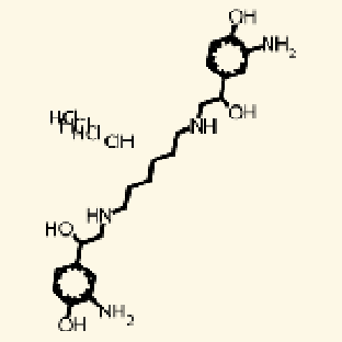 Cl.Cl.Cl.Cl.Nc1cc(C(O)CNCCCCCCNCC(O)c2ccc(O)c(N)c2)ccc1O